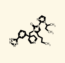 CCCCc1cn(-c2nccn2C(C)CC)c(=O)n1CC1(c2cccc(-c3nnn[nH]3)c2)C=CN=CC1